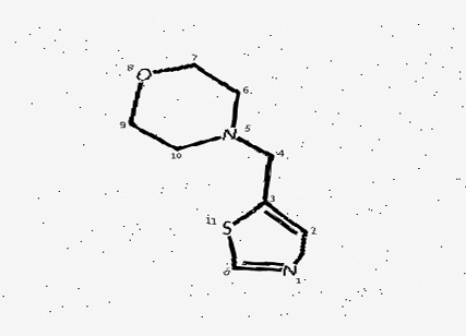 [c]1ncc(CN2CCOCC2)s1